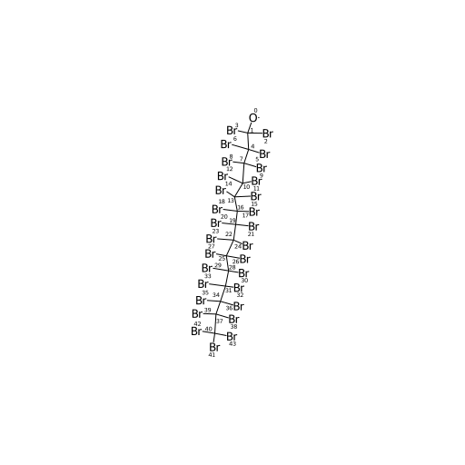 [O]C(Br)(Br)C(Br)(Br)C(Br)(Br)C(Br)(Br)C(Br)(Br)C(Br)(Br)C(Br)(Br)C(Br)(Br)C(Br)(Br)C(Br)(Br)C(Br)(Br)C(Br)(Br)C(Br)(Br)C(Br)(Br)Br